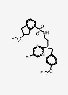 CCc1cnc(N(CCNS(=O)(=O)c2cccc3c2CC(C(=O)O)C3)Cc2ccc(OC(F)(F)F)cc2)nc1